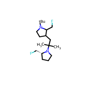 CC(C)(C)N1CCC(CC(C)(C)N2CCC[C@@H]2CF)C1CF